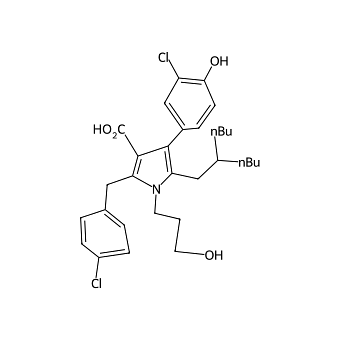 CCCCC(CCCC)Cc1c(-c2ccc(O)c(Cl)c2)c(C(=O)O)c(Cc2ccc(Cl)cc2)n1CCCO